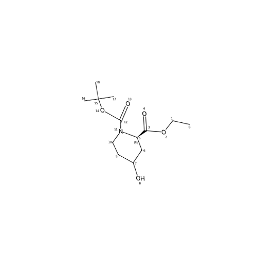 CCOC(=O)[C@H]1CC(O)CCN1C(=O)OC(C)(C)C